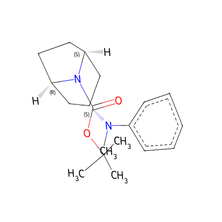 CN(c1ccccc1)[C@@H]1C[C@H]2CC[C@@H](C1)N2C(=O)OC(C)(C)C